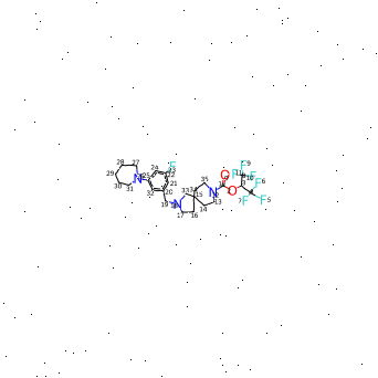 O=C(OC(C(F)(F)F)C(F)(F)F)N1CCC2(CCN(Cc3cc(F)cc(N4CCCCC4)c3)C2)CC1